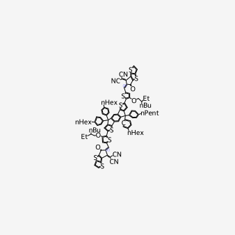 CCCCCCc1ccc(C2(c3ccc(CCCCC)cc3)c3cc4c(cc3-c3sc(-c5sc(/C=C6\C(=O)c7sc8ccsc8c7C6=C(C#N)C#N)cc5OCC(CC)CCCC)cc32)C(c2ccc(CCCCCC)cc2)(c2ccc(CCCCCC)cc2)c2cc(-c3sc(/C=C5\C(=O)c6sc7ccsc7c6C5=C(C#N)C#N)cc3OCC(CC)CCCC)sc2-4)cc1